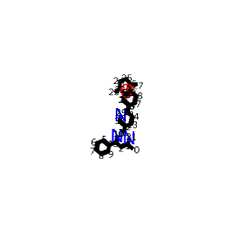 Cc1cc(-c2ccccc2)nc(-c2ccc(-c3ccc4c(c3)C3(C)CCC4(C)O3)nc2)n1